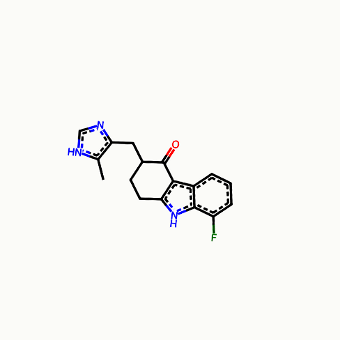 Cc1[nH]cnc1CC1CCc2[nH]c3c(F)cccc3c2C1=O